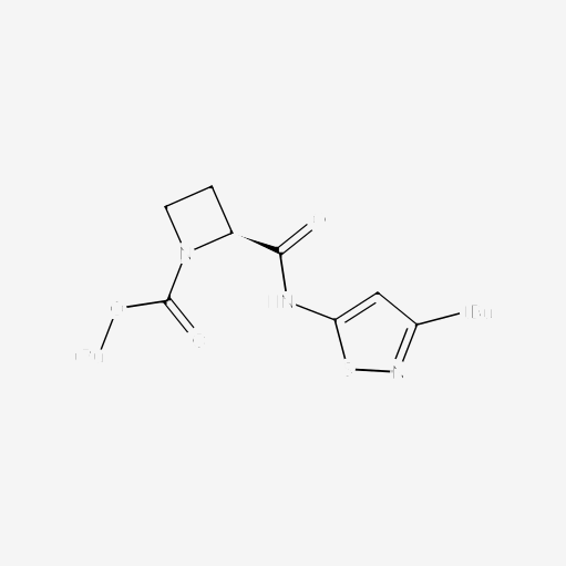 CC(C)(C)OC(=O)N1CC[C@H]1C(=O)Nc1cc(C(C)(C)C)ns1